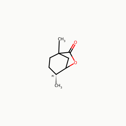 C[C@@H]1CCC2(C)CC1OC2=O